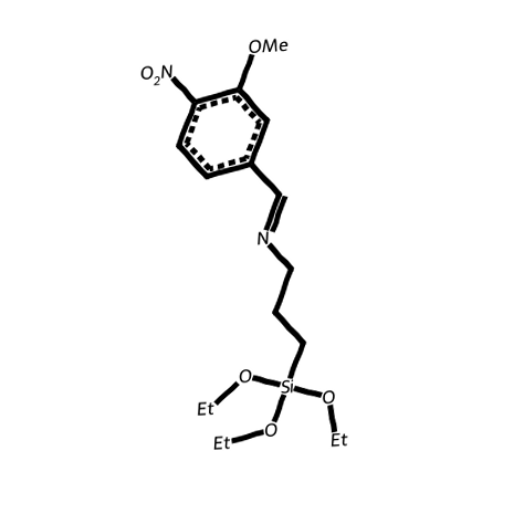 CCO[Si](CCC/N=C/c1ccc([N+](=O)[O-])c(OC)c1)(OCC)OCC